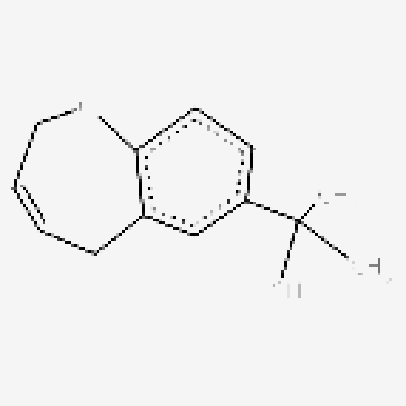 CC(C)(C)c1ccc2c(c1)CC=CCO2